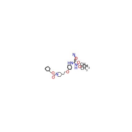 CC(C)(C)OC(=O)NC(=BOC#N)Nc1ccc(OCCC2CCN(C(=O)OCc3ccccc3)CC2)cc1